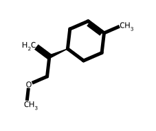 C=C(COC)[C@H]1CC=C(C)CC1